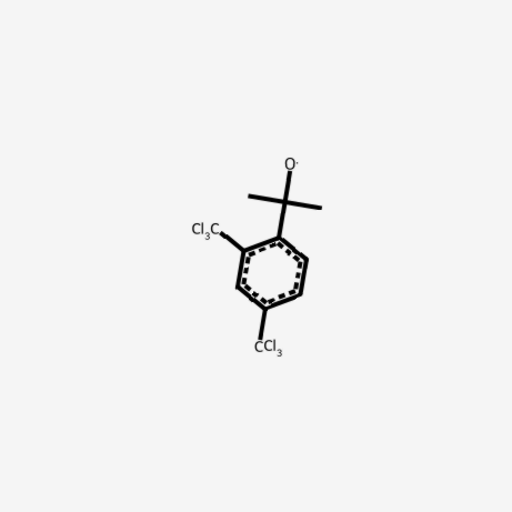 CC(C)([O])c1ccc(C(Cl)(Cl)Cl)cc1C(Cl)(Cl)Cl